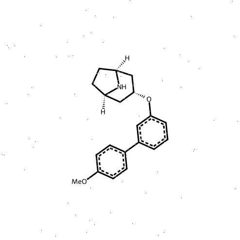 COc1ccc(-c2cccc(O[C@@H]3C[C@H]4CC[C@@H](C3)N4)c2)cc1